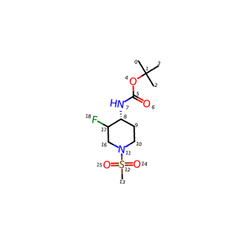 CC(C)(C)OC(=O)N[C@@H]1CCN(S(C)(=O)=O)CC1F